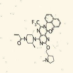 C=CC(=O)N1C[C@H](C)N(c2nc(OCC3CCCN3C)nc3c(=O)n(-c4cccc5cccc(F)c45)c(C(F)(F)F)nc23)[C@@H](C)C1